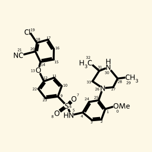 COc1ccc(NS(=O)(=O)c2ccc(Oc3cccc(Cl)c3C#N)cc2)cc1N1CC(C)NC(C)C1